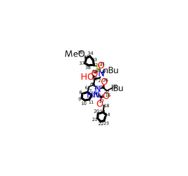 CCCCN(C[C@@H](O)[C@H](Cc1ccccc1)N(NC(=O)OCc1ccccc1)C(=O)CC(C)CC)S(=O)(=O)c1ccc(OC)cc1